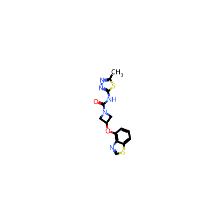 Cc1nnc(NC(=O)N2CC(Oc3cccc4scnc34)C2)s1